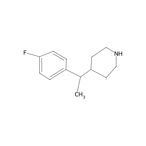 CC(c1ccc(F)cc1)C1[CH]CNCC1